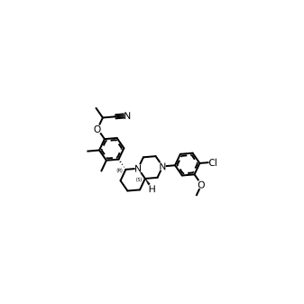 COc1cc(N2CCN3[C@@H](CCC[C@@H]3c3ccc(OC(C)C#N)c(C)c3C)C2)ccc1Cl